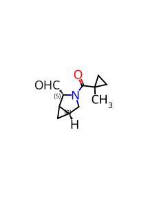 CC1(C(=O)N2C[C@@H]3CC3[C@H]2C=O)CC1